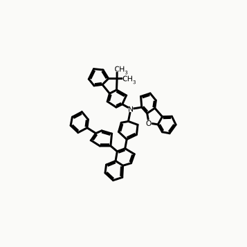 CC1(C)c2ccccc2-c2ccc(N(c3cccc4c3oc3ccccc34)C3C=CC(c4ccc5ccccc5c4-c4ccc(-c5ccccc5)cc4)=CC3)cc21